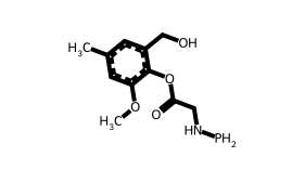 COc1cc(C)cc(CO)c1OC(=O)CNP